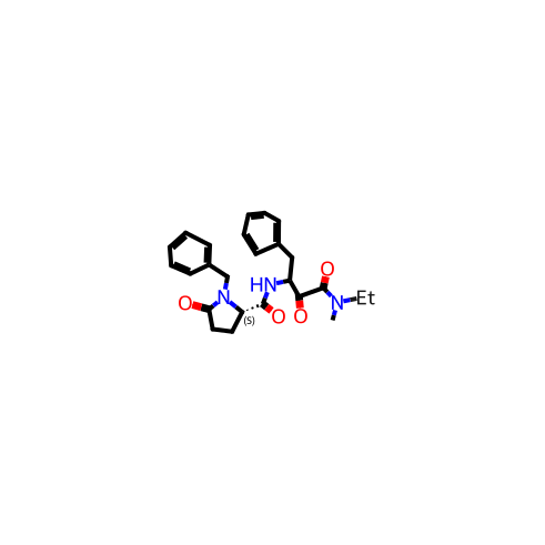 CCN(C)C(=O)C(=O)C(Cc1ccccc1)NC(=O)[C@@H]1CCC(=O)N1Cc1ccccc1